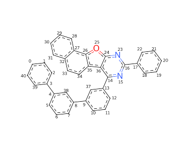 c1ccc(-c2cccc(-c3cccc(-c4nc(-c5ccccc5)nc5oc6c7ccccc7ccc6c45)c3)c2)cc1